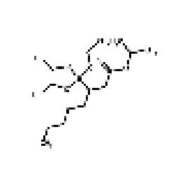 CCCCCC(CC(=S)OC(C)C)[Si](OCC)(OCC)OCC